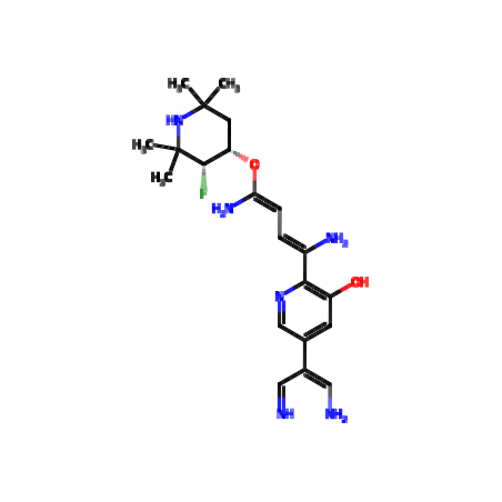 CC1(C)C[C@H](O/C(N)=C/C=C(\N)c2ncc(/C(C=N)=C/N)cc2O)[C@H](F)C(C)(C)N1